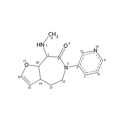 CNC1C(=O)N(c2cccnc2)CCC2C=COC21